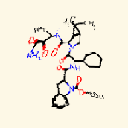 CCCC(NC(=O)[C@@H]1C2C(CN1C(=O)[C@@H](NC(=O)C1Cc3ccccc3N1C(=O)OC(C)(C)C)C1CCCCC1)C2(C)C)C(=O)C(N)=O